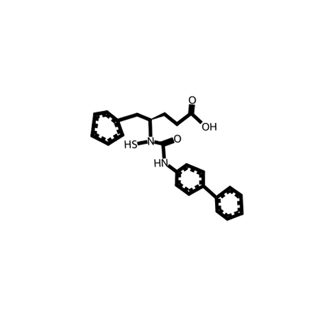 O=C(O)CC[C@H](Cc1ccccc1)N(S)C(=O)Nc1ccc(-c2ccccc2)cc1